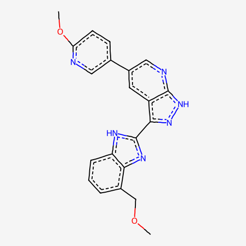 COCc1cccc2[nH]c(-c3n[nH]c4ncc(-c5ccc(OC)nc5)cc34)nc12